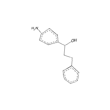 Nc1ccc(C(O)CCc2ccccc2)cc1